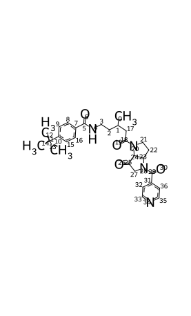 CC(CCNC(=O)c1ccc(C(C)(C)C)cc1)CC(=O)N1CCC2C1C(=O)CN2C(=O)c1ccncc1